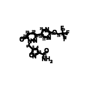 NC(=O)c1cc(Cn2nc(-c3cnc(OCC(F)(F)F)nc3)ccc2=O)on1